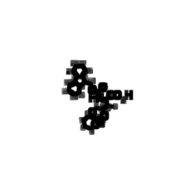 C[C@@H]([C@@H]1COC2(CCCCO2)C2(CCCCO2)O1)[C@H](NC(=O)OCC1c2ccccc2-c2ccccc21)C(=O)O